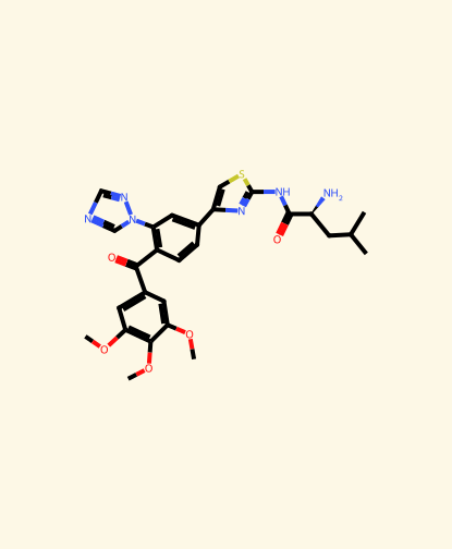 COc1cc(C(=O)c2ccc(-c3csc(NC(=O)[C@@H](N)CC(C)C)n3)cc2-n2cncn2)cc(OC)c1OC